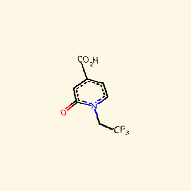 O=C(O)c1ccn(CC(F)(F)F)c(=O)c1